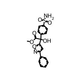 COC(=O)C(O)(c1ccc(S(N)(=O)=O)cc1)c1cc(-c2ccccc2)no1